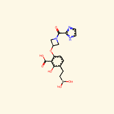 O=C(O)c1c(OC2CN(C(=O)c3ncc[nH]3)C2)ccc(CCB(O)O)c1O